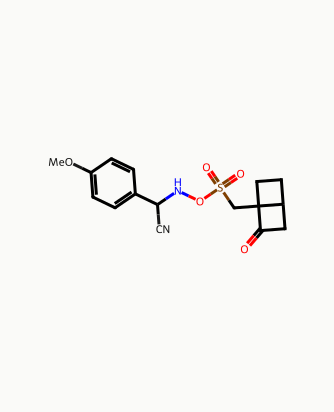 COc1ccc(C(C#N)NOS(=O)(=O)CC23CCC2CC3=O)cc1